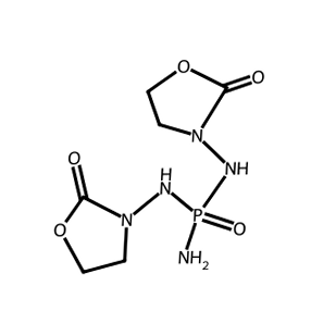 NP(=O)(NN1CCOC1=O)NN1CCOC1=O